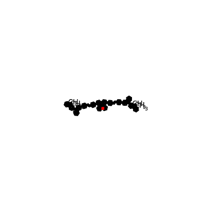 CC1(C)c2ccccc2-c2ccc(-n3c4ccccc4c4cc(-c5ccc(/C=C/c6ccc(-c7ccc8c(c7)C(c7ccccc7)(c7ccccc7)c7cc(-c9ccc(/C=C/c%10ccc(-c%11ccc%12c(c%11)c%11ccccc%11n%12-c%11ccc%12c(c%11)C(C)(C)c%11ccccc%11-%12)cc%10)cc9)ccc7-8)cc6)cc5)ccc43)cc21